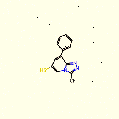 FC(F)(F)c1nnc2c(-c3ccccc3)cc(S)cn12